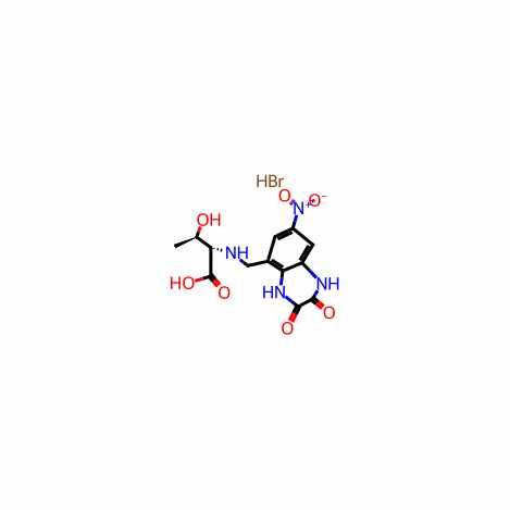 Br.C[C@@H](O)[C@H](NCc1cc([N+](=O)[O-])cc2[nH]c(=O)c(=O)[nH]c12)C(=O)O